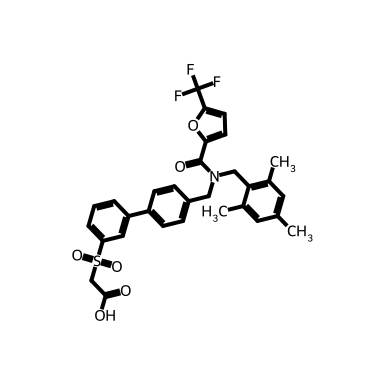 Cc1cc(C)c(CN(Cc2ccc(-c3cccc(S(=O)(=O)CC(=O)O)c3)cc2)C(=O)c2ccc(C(F)(F)F)o2)c(C)c1